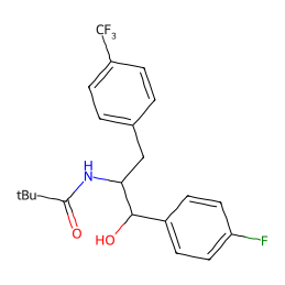 CC(C)(C)C(=O)NC(Cc1ccc(C(F)(F)F)cc1)C(O)c1ccc(F)cc1